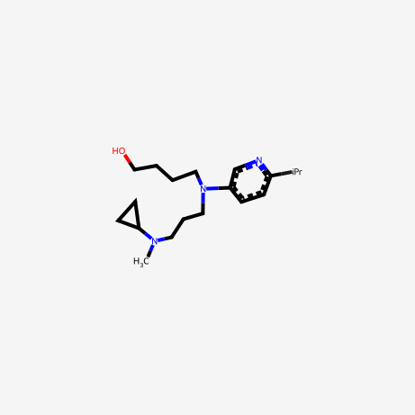 CC(C)c1ccc(N(CCCCO)CCCN(C)C2CC2)cn1